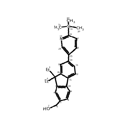 CCC1(CC)c2cc(CO)ccc2-c2ccc(-c3ccc([Si](C)(C)C)nc3)cc21